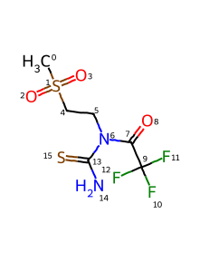 CS(=O)(=O)CCN(C(=O)C(F)(F)F)C(N)=S